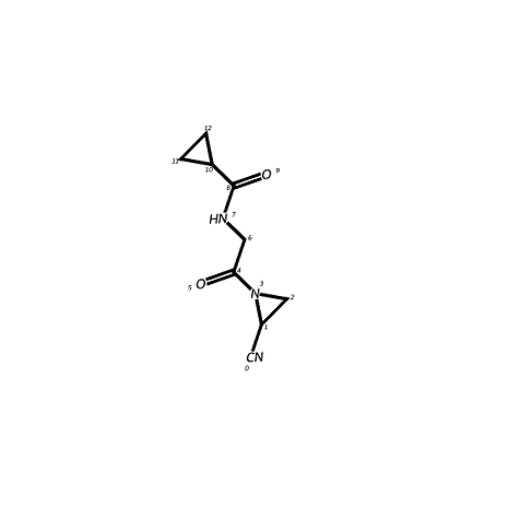 N#CC1CN1C(=O)CNC(=O)C1CC1